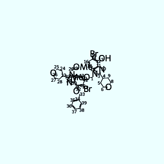 COCn1c(C2CCOCC2)nc2c(O)c(Br)ccc21.COCn1c(C2CCOCC2)nc2c(OCc3ccccc3)c(Br)ccc21